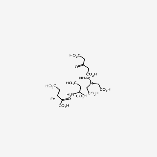 CC(=O)NN(CC(=O)O)CC(=O)O.NC(CC(=O)O)C(=O)O.O=C(O)CC(=O)CC(=O)O.O=C(O)CCC(=O)C(=O)O.[Fe]